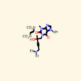 CCCn1cnc2c1c(=O)n(CC(C)(O)C#CCN(CC)CC)c(=O)n2C.O=C(O)/C=C/C(=O)O